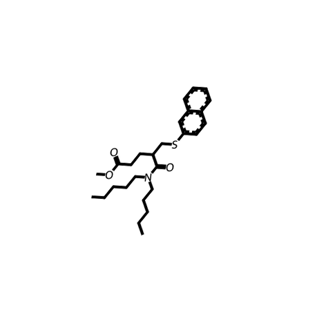 CCCCCN(CCCCC)C(=O)C(CCC(=O)OC)CSc1ccc2ccccc2c1